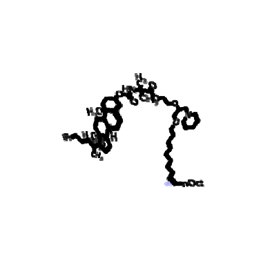 B[C@@]12CCC(C(C)CCCC(C)C)[C@@]1(C)CCC1[C@H]2CC=C2CC(OC(=O)NC(C)(C)C(=O)OCCOC(COCCCCCCCC/C=C\CCCCCCCC)CN3CCCCC3)CCC21C